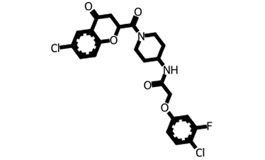 O=C(COc1ccc(Cl)c(F)c1)NC1CCN(C(=O)C2CC(=O)c3cc(Cl)ccc3O2)CC1